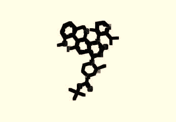 COc1cccc2c1-c1c(F)cc3c(N4CCN(C(=O)OC(C)(C)C)C[C@@H]4C)nc(=O)n(-c4c(C)ccnc4C(C)C)c3c1OC2